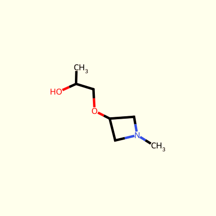 CC(O)COC1CN(C)C1